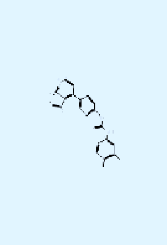 Cc1ccc(NC(=O)Nc2ccc(-c3ccnc4[nH]nc(N)c34)cc2)cc1C